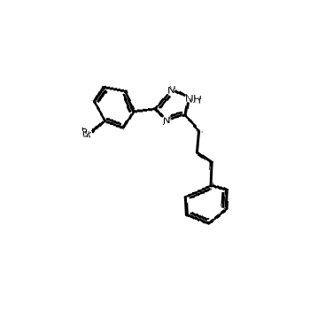 Brc1cccc(-c2n[nH]c([CH]CCc3ccccc3)n2)c1